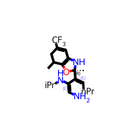 CCC/C=C(\C(=C/N)NC(C)C)[C@]1(C)NC2=C(O1)C(C)CC(C(F)(F)F)=C2